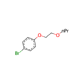 CCCOCCOc1ccc(Br)cc1